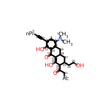 CCCC#Cc1cc(N(C)C)c2c(c1O)C(=O)C1=C(O)C(C(=O)CC(C)=O)C(CCO)CC1C2